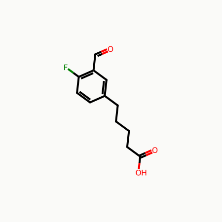 O=Cc1cc(CCCCC(=O)O)ccc1F